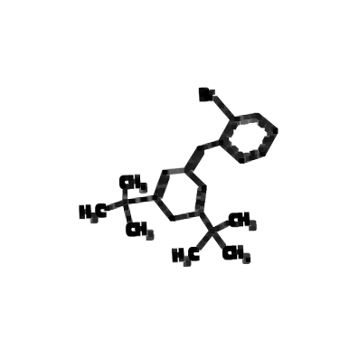 CC(C)(C)C1=CC(=Cc2ccccc2Br)C=C(C(C)(C)C)C1